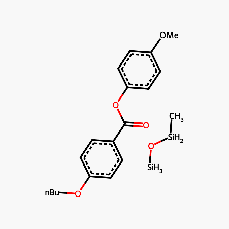 CCCCOc1ccc(C(=O)Oc2ccc(OC)cc2)cc1.C[SiH2]O[SiH3]